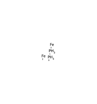 P.P.[Fe].[Fe]